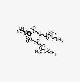 C=CC(=O)OCC(C)OC(=O)CCC(=O)OCCOC(=O)Oc1ccc(OC(=O)OCCOC(=O)CCC(=O)OC(C)COC(=O)C=C)c2c1SC(=C(C#N)C#N)S2